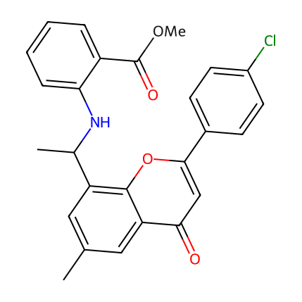 COC(=O)c1ccccc1NC(C)c1cc(C)cc2c(=O)cc(-c3ccc(Cl)cc3)oc12